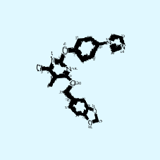 Cc1c(Cl)nc(Oc2ccc(-n3ccnc3)cc2)nc1OCc1ccc2c(c1)OCO2